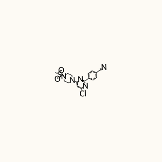 CS(=O)(=O)N1CCN(c2cc(Cl)nc(-c3ccc(C#N)cc3)n2)CC1